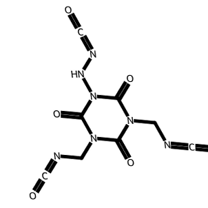 O=C=NCn1c(=O)n(CN=C=O)c(=O)n(NN=C=O)c1=O